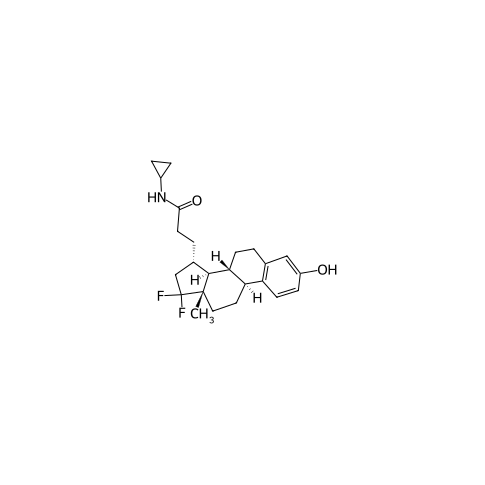 C[C@]12CC[C@@H]3c4ccc(O)cc4CC[C@H]3[C@@H]1[C@@H](CCC(=O)NC1CC1)CC2(F)F